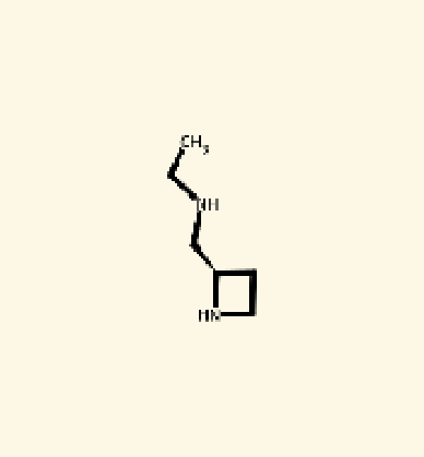 CCNC[C@H]1CCN1